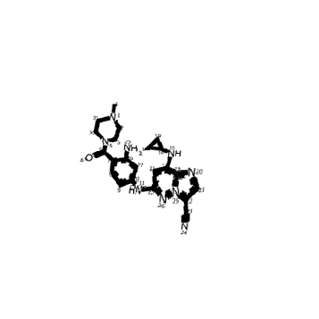 CN1CCN(C(=O)c2ccc(Nc3cc(NC4CC4)c4ncc(C#N)n4n3)cc2N)CC1